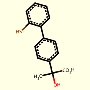 CC(O)(C(=O)O)c1ccc(-c2ccccc2S)cc1